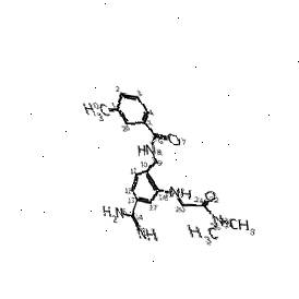 Cc1cccc(C(=O)NCc2ccc(C(=N)N)cc2NCC(=O)N(C)C)c1